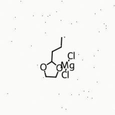 [CH2]CCC1OCCO1.[Cl][Mg][Cl]